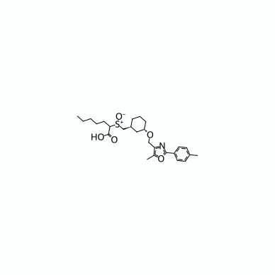 CCCCCC(C(=O)O)[S+]([O-])C[C@H]1CCC[C@@H](OCc2nc(-c3ccc(C)cc3)oc2C)C1